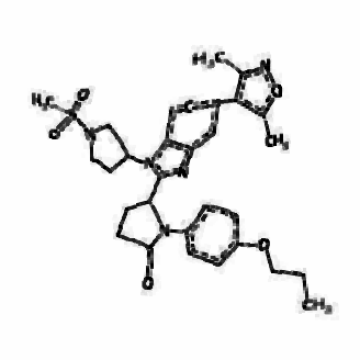 CCCOc1ccc(N2C(=O)CCC2c2nc3cc(-c4c(C)noc4C)ccc3n2C2CCN(S(C)(=O)=O)C2)cc1